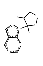 CC1(n2ncc3cncnc32)SSCC1O